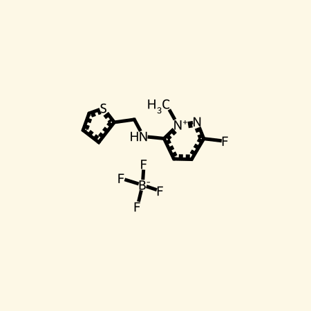 C[n+]1nc(F)ccc1NCc1cccs1.F[B-](F)(F)F